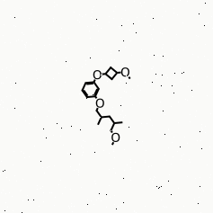 COCC(C)CC(C)COc1cccc(OC2CC(OC)C2)c1